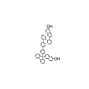 Oc1ccc2cc(-c3ccccc3-c3ccccc3-c3ccc(-c4ccc(C5(c6ccc7cc(O)ccc7c6)c6ccccc6-c6ccccc65)cc4)cc3)ccc2c1